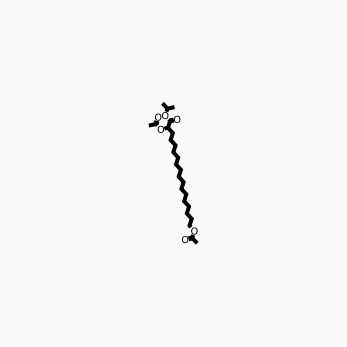 CC(=O)OCCCCCCCCCCCCCCCCC(OC(C)=O)C(=O)OC(C)C